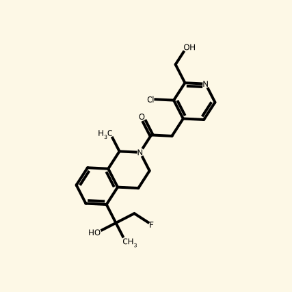 CC1c2cccc(C(C)(O)CF)c2CCN1C(=O)Cc1ccnc(CO)c1Cl